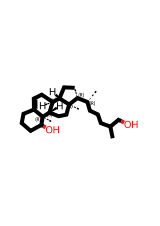 CC(CO)CCC[C@@H](C)[C@H]1CC[C@H]2[C@@H]3CC=C4CCCC(O)[C@]4(C)[C@H]3CC[C@]12C